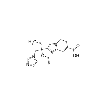 CSC(Cn1ccnc1)(OC=S)c1cc2c(s1)C=C(C(=O)O)CC2